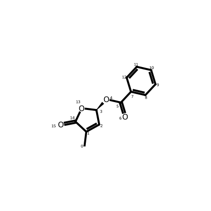 CC1=C[C@H](OC(=O)c2ccccc2)OC1=O